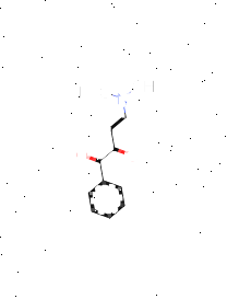 CN(C)/C=C/C(=O)C(=O)c1ccccc1